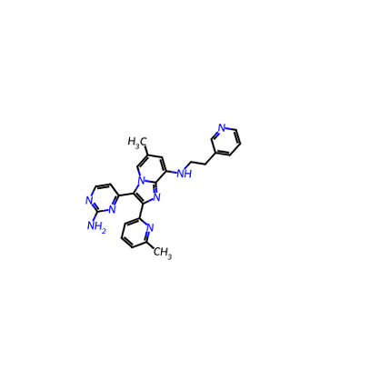 Cc1cc(NCCc2cccnc2)c2nc(-c3cccc(C)n3)c(-c3ccnc(N)n3)n2c1